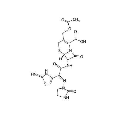 CC(=O)OCC1=C(C(=O)O)N2C(=O)C(NC(=O)C(=NN3CCNC3=O)c3csc(=N)[nH]3)[C@@H]2SC1